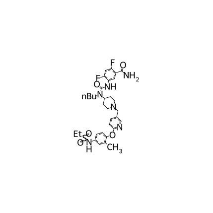 CCCCN(C(=O)Nc1cc(C(N)=O)c(F)cc1F)C1CCN(Cc2ccc(Oc3ccc(NS(=O)(=O)CC)cc3C)nc2)CC1